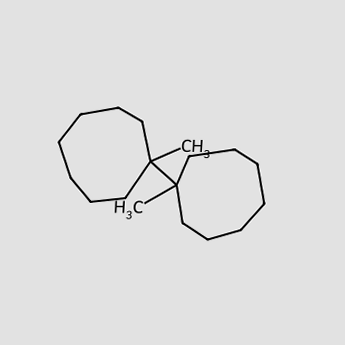 CC1(C2(C)CCCCCCC2)CCCCCCC1